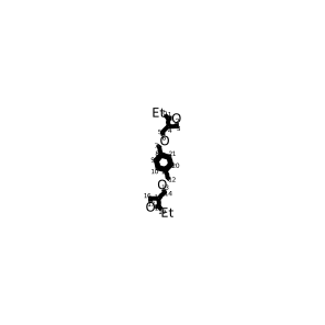 CCC1OCC1COCc1ccc(COCC2COC2CC)cc1